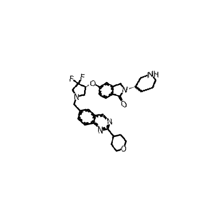 O=C1c2ccc(O[C@@H]3CN(Cc4ccc5nc(C6CCOCC6)ncc5c4)CC3(F)F)cc2CN1[C@H]1CCCNC1